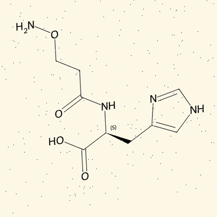 NOCCC(=O)N[C@@H](Cc1c[nH]cn1)C(=O)O